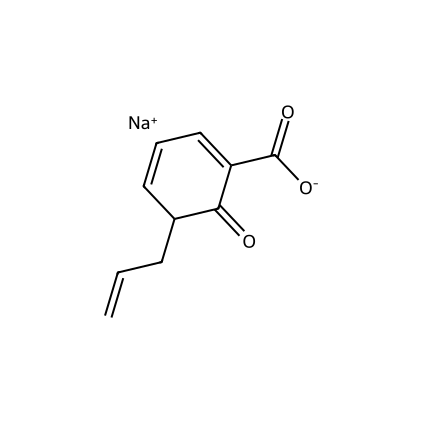 C=CCC1C=CC=C(C(=O)[O-])C1=O.[Na+]